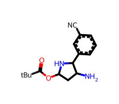 CC(C)(C)C(=O)OC1CC(N)C(c2cccc(C#N)c2)N1